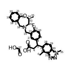 Cc1c(C(CC(=O)O)c2ccc(F)c(CN3Cc4ccccc4O[C@@H](C)C3)c2)ccc2c1nnn2C.O=CO